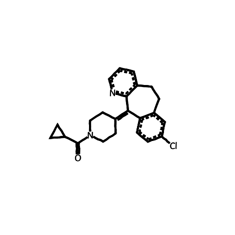 O=C(C1CC1)N1CCC(=C2c3ccc(Cl)cc3CCc3cccnc32)CC1